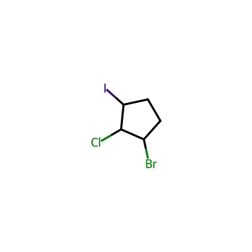 ClC1C(Br)CCC1I